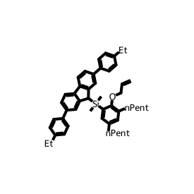 C=CCOc1c(CCCCC)cc(CCCCC)cc1[Si](C)(C)C1c2cc(-c3ccc(CC)cc3)ccc2-c2ccc(-c3ccc(CC)cc3)cc21